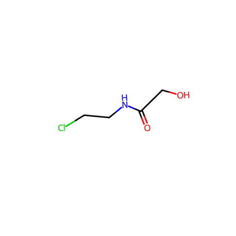 O=C(CO)NCCCl